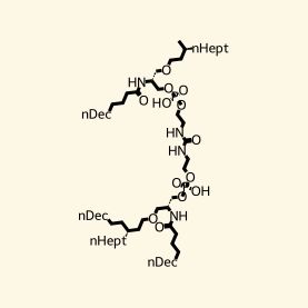 CCCCCCCCCCCCCC(=O)N[C@H](COCC[C@@H](C)CCCCCCC)COP(=O)(O)OCCNC(=O)NCCOP(=O)(O)OC[C@@H](COCC[C@H](CCCCCCC)CCCCCCCCCCCC)NC(=O)CCCCCCCCCCCCC